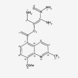 C=C(O/C(CN)=C(\N)C(N)=O)c1ccc(OC)c2nc(C(F)(F)F)ccc12